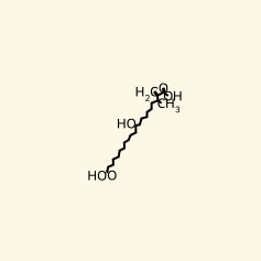 C=C(C(=O)O)C(C)CCCCCCC(O)CCCCCCCCCCC(=O)O